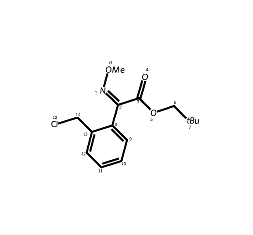 CON=C(C(=O)OCC(C)(C)C)c1ccccc1CCl